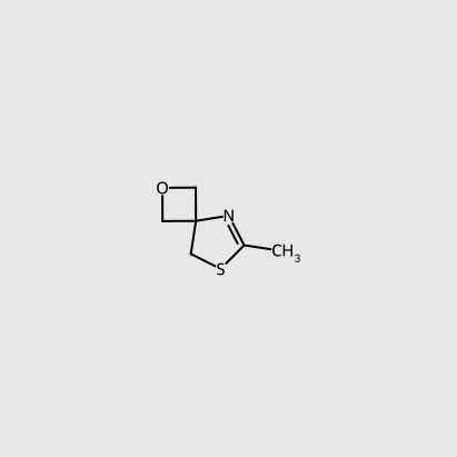 CC1=NC2(COC2)CS1